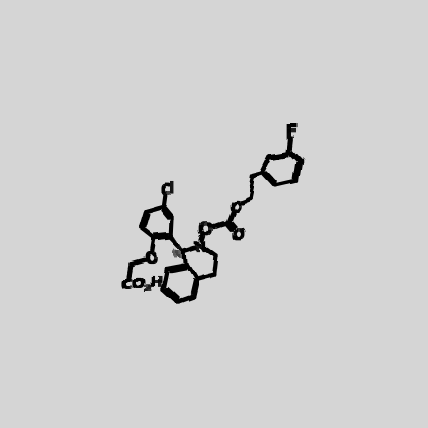 O=C(O)COc1ccc(Cl)cc1[C@@H]1c2ccccc2CCN1OC(=O)OCCc1cccc(F)c1